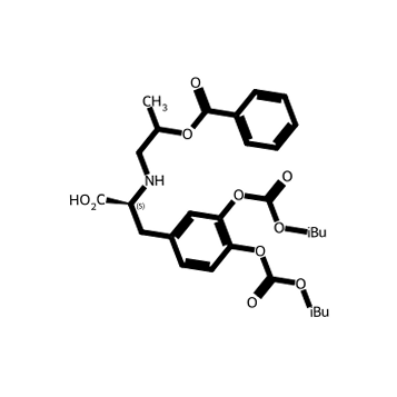 CCC(C)OC(=O)Oc1ccc(C[C@H](NCC(C)OC(=O)c2ccccc2)C(=O)O)cc1OC(=O)OC(C)CC